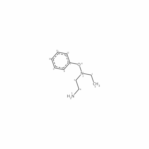 CCN(CCN)Oc1ccccc1